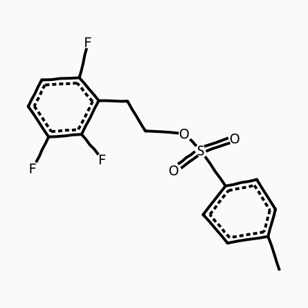 Cc1ccc(S(=O)(=O)OCCc2c(F)ccc(F)c2F)cc1